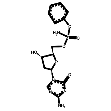 Nc1ncn([C@H]2C[C@H](O)[C@@H](COP(N)(=O)Oc3ccccc3)O2)c(=O)n1